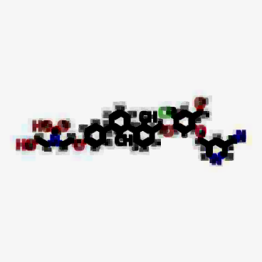 Cc1c(COc2cc(OCc3cncc(C#N)c3)c(C=O)cc2Cl)cccc1-c1cccc(-c2ccc(OCCN(CCO)C(=O)O)cc2)c1C